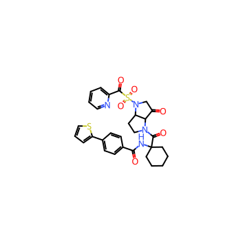 O=C(NC1(C(=O)N2CCC3C2C(=O)CN3S(=O)(=O)C(=O)c2ccccn2)CCCCC1)c1ccc(-c2cccs2)cc1